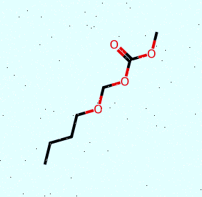 CCCCOCOC(=O)OC